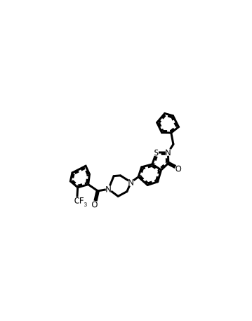 O=C(c1ccccc1C(F)(F)F)N1CCN(c2ccc3c(=O)n(Cc4ccccc4)sc3c2)CC1